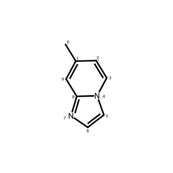 Cc1[c]cn2ccnc2c1